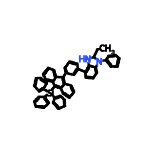 CCC1Nc2c(-c3cccc(-c4c5ccccc5c([Si](c5ccccc5)(c5ccccc5)c5ccccc5)c5ccccc45)c3)cccc2N1c1ccccc1